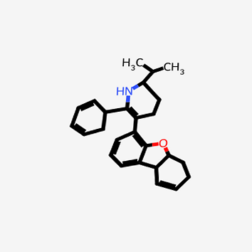 CC(C)C1CCC(c2cccc3c2OC2CCC=CC32)=C(C2C=CC=CC2)N1